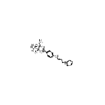 CC1(C)OB(c2ccc(OCCCN3CCCC3)cc2)OC1(C)C